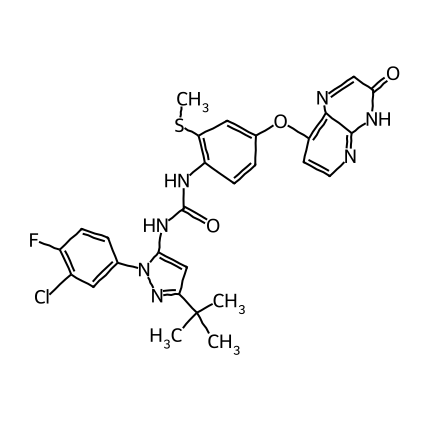 CSc1cc(Oc2ccnc3[nH]c(=O)cnc23)ccc1NC(=O)Nc1cc(C(C)(C)C)nn1-c1ccc(F)c(Cl)c1